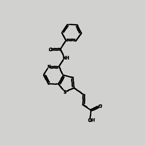 O=C(O)C=Cc1cc2c(NC(=O)c3ccccc3)nccc2s1